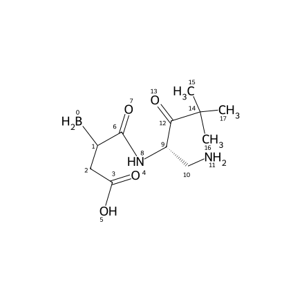 BC(CC(=O)O)C(=O)N[C@@H](CN)C(=O)C(C)(C)C